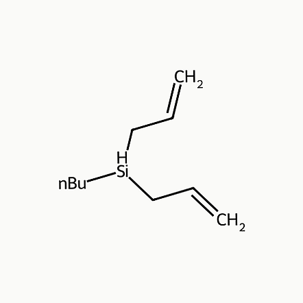 C=CC[SiH](CC=C)CCCC